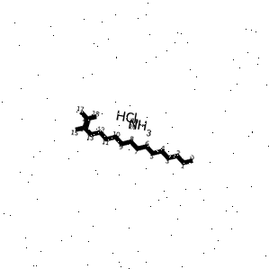 CCCCCCCCCCCCCCC(C)=C(C)C.Cl.N